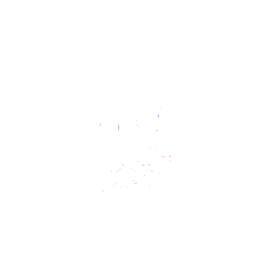 CCOC(=O)[C@H](C)NP(=O)(N[C@@H](C)C(=O)OCC)OC[C@@]1(F)O[C@@H](n2ccc(=O)[nH]c2=O)[C@](C)(O)[C@@H]1O